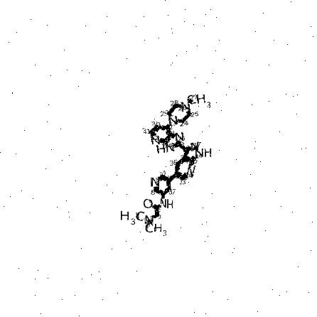 CN(C)CC(=O)Nc1cncc(-c2cnc3[nH]nc(-c4nc5c(N6CCN(C)CC6)ccnc5[nH]4)c3c2)c1